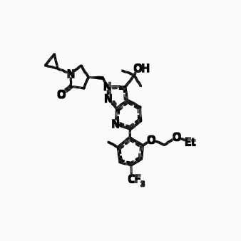 CCOCOc1cc(C(F)(F)F)cc(C)c1-c1ccc2c(C(C)(C)O)n(C[C@H]3CC(=O)N(C4CC4)C3)nc2n1